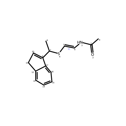 CC(=O)N/C=C/SC(C)C1=CCc2ccccc21